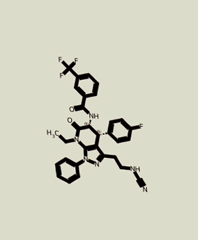 CCN1C(=O)[C@H](NC(=O)c2cccc(C(F)(F)F)c2)[C@H](c2ccc(F)cc2)c2c(CCNC#N)nn(-c3ccccc3)c21